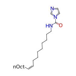 CCCCCCCC/C=C\CCCCCCCCNC(=O)n1ccnc1